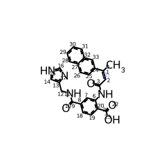 C/C(=C/C(=O)Nc1cc(C(=O)NCc2c[nH]cn2)ccc1C(=O)O)c1ccc2ccccc2c1